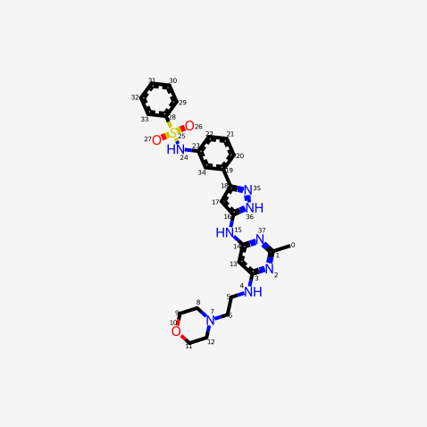 Cc1nc(NCCN2CCOCC2)cc(Nc2cc(-c3cccc(NS(=O)(=O)c4ccccc4)c3)n[nH]2)n1